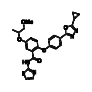 COCC(C)Oc1ccc(Oc2ccc(-c3nnc(C4CC4)o3)cc2)c(C(=O)Nc2nccs2)c1